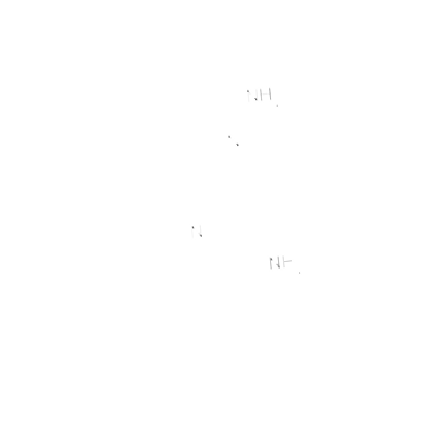 NC1=NC=CN(N)C1